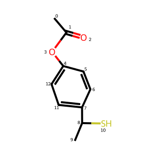 CC(=O)Oc1ccc(C(C)S)cc1